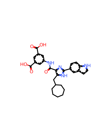 O=C(O)c1cc(NC(=O)c2nc(-c3ccc4[nH]ccc4c3)[nH]c2CC2CCCCCC2)cc(C(=O)O)c1